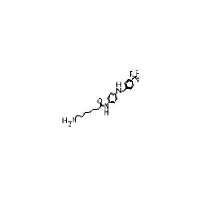 NCCCCCCC(=O)Nc1ccc(NCc2ccc(C(F)(F)F)cc2)cc1